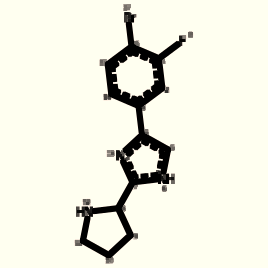 Fc1cc(-c2c[nH]c(C3CCCN3)n2)ccc1Br